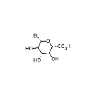 CC[C@@H]1O[C@H](C(=O)O)C(O)[C@H](O)C1O